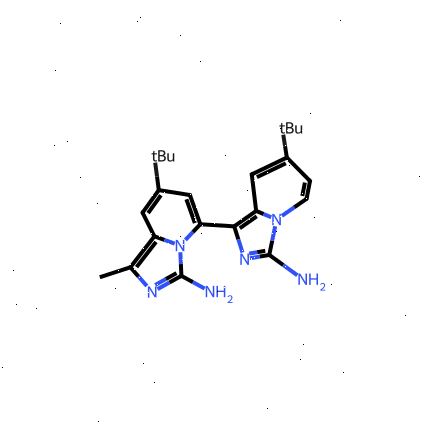 Cc1nc(N)n2c(-c3nc(N)n4ccc(C(C)(C)C)cc34)cc(C(C)(C)C)cc12